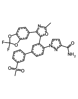 Cc1nc(-c2ccc3c(c2)OC(F)(F)O3)c(-c2cc(-c3cccc(S(C)(=O)=O)c3)ccc2-n2ccc(C(N)=O)n2)o1